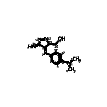 CN(C)c1ccc(N=C2C(=N)N=NC2CO)cc1